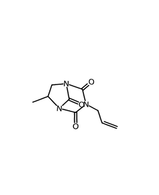 C=CCn1c(=O)n2c(=O)n(c1=O)C(C)C2